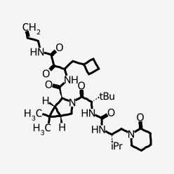 C=CCNC(=O)C(=O)C(CC1CCC1)NC(=O)[C@@H]1[C@@H]2[C@H](CN1C(=O)[C@@H](NC(=O)N[C@H](CN1CCCCC1=O)C(C)C)C(C)(C)C)C2(C)C